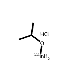 CC(C)[O][111InH2].Cl